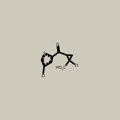 CCC1(C(=O)O)CC1C(=O)c1cc(Cl)cs1